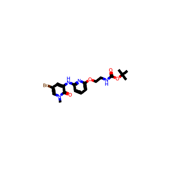 Cn1cc(Br)cc(Nc2cccc(OCCNC(=O)OC(C)(C)C)n2)c1=O